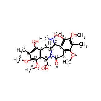 COc1c(C)c(OC)c2c(c1O)C(N(C)C)[C@@H]1Cc3c(O)c(C)c(OC)c(OC)c3[C@H](CO)N1C(=O)C2